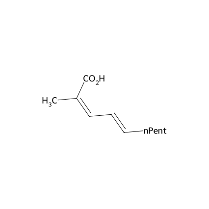 CCCCC/C=C/C=C(/C)C(=O)O